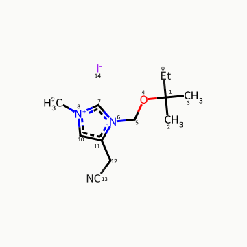 CCC(C)(C)OCn1c[n+](C)cc1CC#N.[I-]